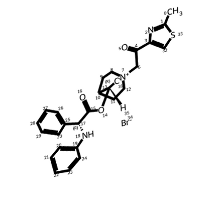 Cc1nc(C(=O)C[N+]23CCC(CC2)[C@@H](OC(=O)[C@H](Nc2ccccc2)c2ccccc2)C3)cs1.[Br-]